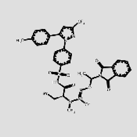 Cc1ccc(-c2cc(C(F)(F)F)nn2-c2ccc(S(=O)(=O)NC(=O)[C@H](CC(C)C)N(C)/[N+]([O-])=N/OC(C)N3C(=O)c4ccccc4C3=O)cc2)cc1